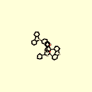 c1ccc(-c2nc(-c3ccccc3)nc(-c3cccc4sc5cccc(-c6cccc7c6oc6ccc(-n8c9ccccc9c9ccccc98)cc67)c5c34)n2)cc1